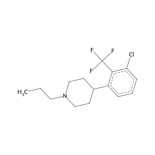 CCCN1CCC(c2cccc(Cl)c2C(F)(F)F)CC1